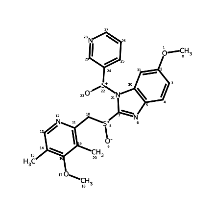 COc1ccc2nc([S+]([O-])Cc3ncc(C)c(OC)c3C)n([S+]([O-])c3cccnc3)c2c1